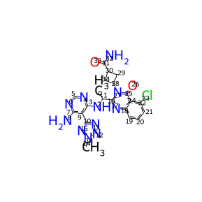 C[C@H](Nc1ncnc(N)c1-c1nnn(C)n1)c1nc2cccc(Cl)c2c(=O)n1C1CC(C(N)=O)C1